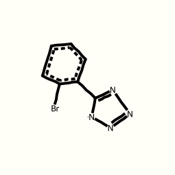 Brc1ccccc1C1=NN=N[N]1